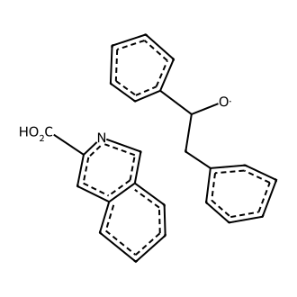 O=C(O)c1cc2ccccc2cn1.[O]C(Cc1ccccc1)c1ccccc1